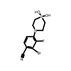 N#Cc1ccc(N2CCS(O)(O)CC2)c(F)c1Br